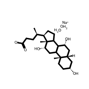 C[C@H](CCC(=O)[O-])[C@H]1CCC2C3C(C[C@H](O)[C@@]21C)[C@@]1(C)CC[C@@H](O)C[C@H]1C[C@H]3O.O.O.[Na+]